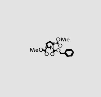 COC(=O)[C@H]1CC[C@H](C(=O)OC)N1C(=O)OCc1ccccc1